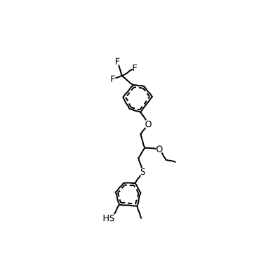 CCOC(COc1ccc(C(F)(F)F)cc1)CSc1ccc(S)c(C)c1